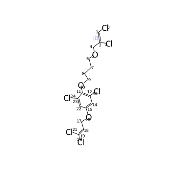 Cl/C=C(\Cl)COCCCCOc1c(Cl)cc(OCC=C(Cl)Cl)cc1Cl